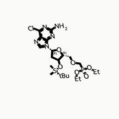 CCOP(=O)(COC[C@H]1O[C@@H](n2cnc3c(Cl)nc(N)nc32)CC1O[Si](C)(C)C(C)(C)C)OCC